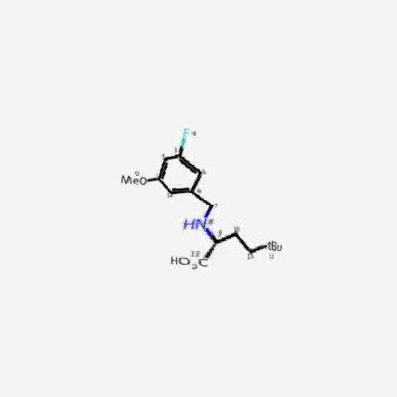 COc1cc(F)cc(CN[C@@H](CCC(C)(C)C)C(=O)O)c1